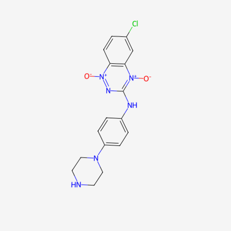 [O-][n+]1nc(Nc2ccc(N3CCNCC3)cc2)[n+]([O-])c2cc(Cl)ccc21